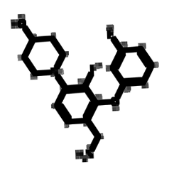 NCc1ccc(N2CCC(O)CC2)c(F)c1Oc1cccc(F)c1